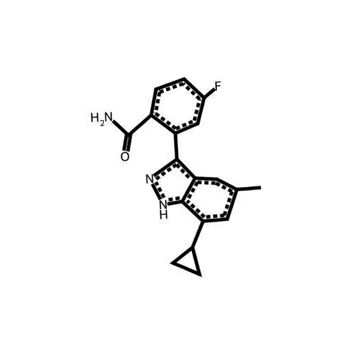 Cc1cc(C2CC2)c2[nH]nc(-c3cc(F)ccc3C(N)=O)c2c1